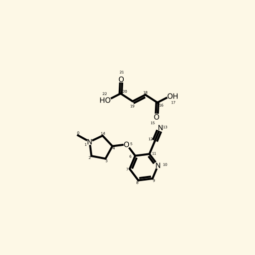 CN1CCC(Oc2cccnc2C#N)C1.O=C(O)C=CC(=O)O